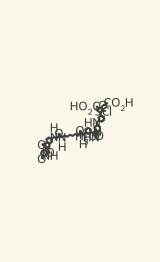 CC1(c2cccc(NC(=O)CCCCCCNC(=O)CNc3ccc4c(c3)CN(C3CCC(=O)NC3=O)C4=O)c2)C2CC(Nc3cccc(-c4sc(C(=O)O)c(OCC(=O)O)c4Cl)c3)CCN2S1(=N)=O